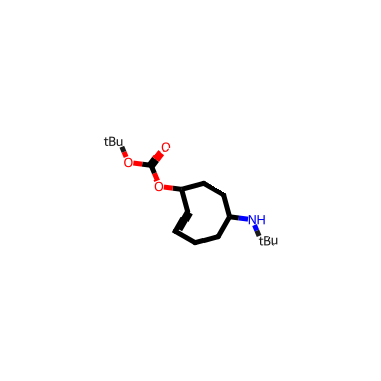 CC(C)(C)NC1CC/C=C/C(OC(=O)OC(C)(C)C)CC1